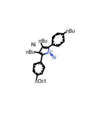 CCCCCCCCc1ccc(C2=C(CCCC)C(CCCC)=C(c3ccc(CCCC)cc3)[N+]2=[N-])cc1.[Ni]